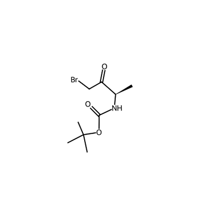 C[C@@H](NC(=O)OC(C)(C)C)C(=O)CBr